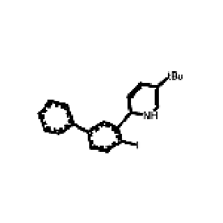 CC(C)(C)C1=CNC(c2cc(-c3ccccc3)ccc2I)C=C1